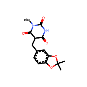 CCCCN1C(=O)NC(=O)C(Cc2ccc3c(c2)OC(C)(C)O3)C1=O